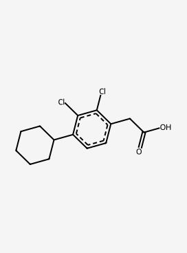 O=C(O)Cc1ccc(C2CCCCC2)c(Cl)c1Cl